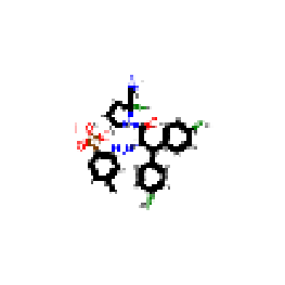 Cc1ccc(S(=O)(=O)O)cc1.N#CC1(F)CCCN1C(=O)[C@@H](N)C(c1ccc(F)cc1)c1ccc(F)cc1